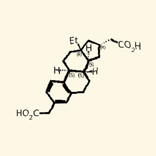 CC[C@]12CC[C@@H]3c4ccc(CC(=O)O)cc4CC[C@H]3[C@@H]1C[C@@H](CC(=O)O)C2